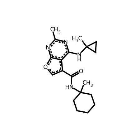 Cc1nc(NC2(C)CC2)c2c(C(=O)NC3(C)CCCCC3)coc2n1